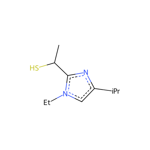 CCn1cc(C(C)C)nc1C(C)S